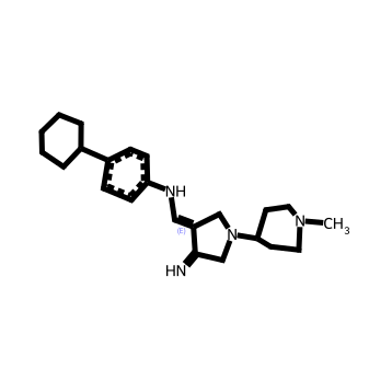 CN1CCC(N2CC(=N)/C(=C/Nc3ccc(C4CCCCC4)cc3)C2)CC1